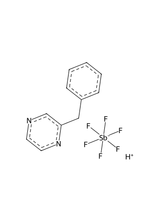 [F][Sb-]([F])([F])([F])([F])[F].[H+].c1ccc(Cc2cnccn2)cc1